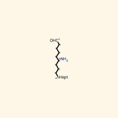 CCCCCCCCCCCCCCCC=O.N